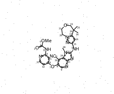 COC(=O)Nc1cc(Oc2cnc3nc(Nc4cc5n(n4)CCOCC5(C)C)n(C)c3c2C#N)ccn1